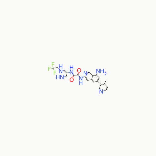 Cc1ccncc1-c1cc(N)c2cnc(NC(=O)C(=O)N/C(C=N)=C/NCC(F)(F)F)cc2c1